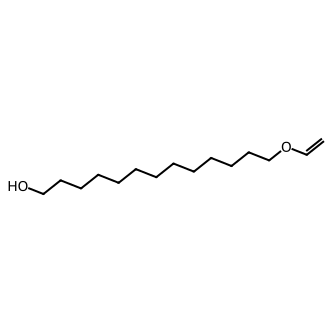 C=COCCCCCCCCCCCCCO